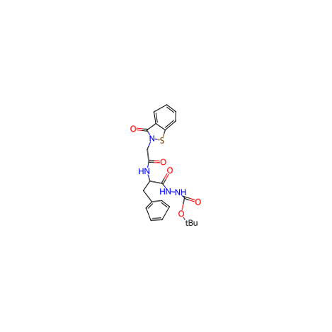 CC(C)(C)OC(=O)NNC(=O)C(Cc1ccccc1)NC(=O)Cn1sc2ccccc2c1=O